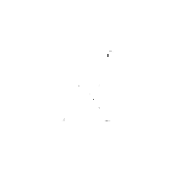 CCCCCC(Cl)(Cl)C(Cl)(Cl)Cl